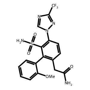 COc1ccccc1-c1c(CC(N)=O)ccc(-n2cnc(C(F)(F)F)n2)c1S(N)(=O)=O